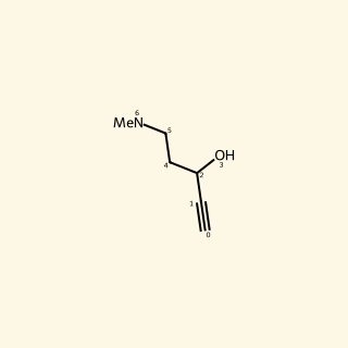 C#CC(O)CCNC